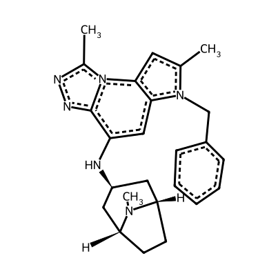 Cc1cc2c(cc(N[C@@H]3C[C@H]4CC[C@@H](C3)N4C)c3nnc(C)n32)n1Cc1ccccc1